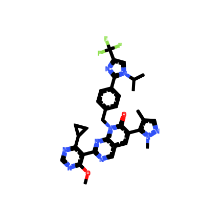 COc1ncnc(C2CC2)c1-c1ncc2cc(-c3c(C)cnn3C)c(=O)n(Cc3ccc(-c4nc(C(F)(F)F)cn4C(C)C)cc3)c2n1